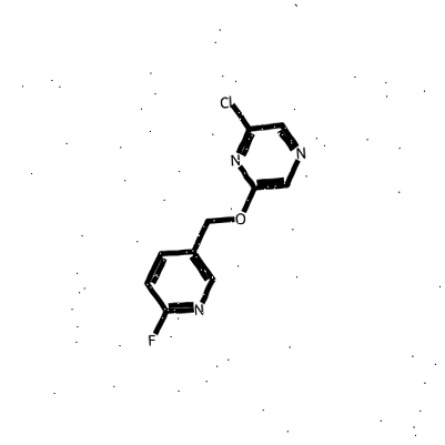 Fc1ccc(COc2cncc(Cl)n2)cn1